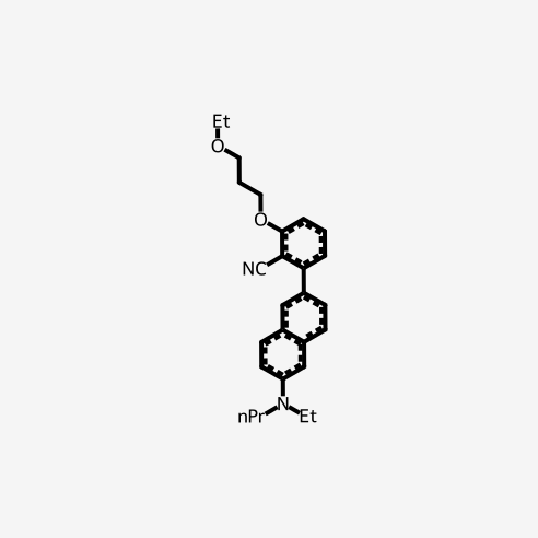 CCCN(CC)c1ccc2cc(-c3cccc(OCCCOCC)c3C#N)ccc2c1